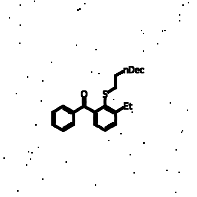 CCCCCCCCCCCCSc1c(CC)cccc1C(=O)c1ccccc1